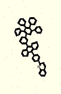 c1ccc(-c2cc(-c3cccc(-c4c5ccccc5c(-c5ccc(-c6ccc7ccccc7n6)cc5)c5ccccc45)c3)c(-c3ccccc3)c(-c3ccccc3)c2-c2ccccc2)cc1